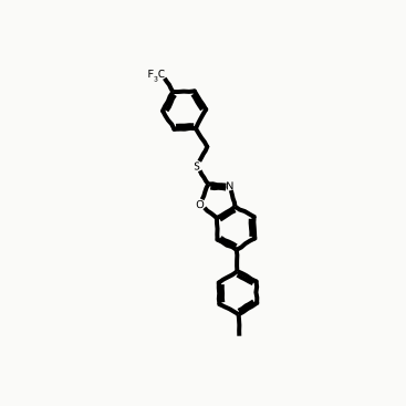 Cc1ccc(-c2ccc3nc(SCc4ccc(C(F)(F)F)cc4)oc3c2)cc1